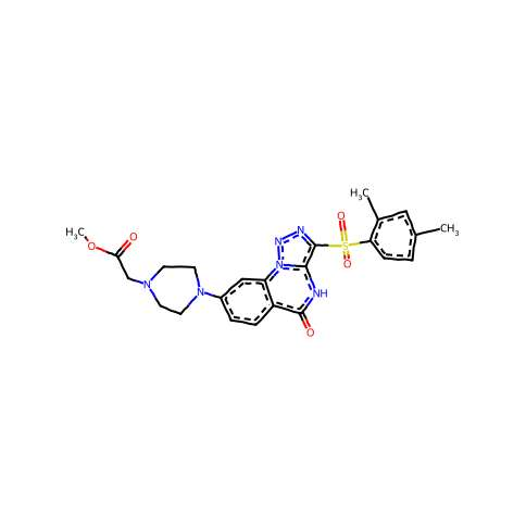 COC(=O)CN1CCN(c2ccc3c(=O)[nH]c4c(S(=O)(=O)c5ccc(C)cc5C)nnn4c3c2)CC1